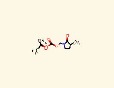 CC(C)OC(=O)OCN1CCC(C)C1=O